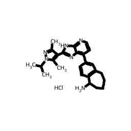 Cc1nn(C(C)C)c(C)c1-c1nc2c(-c3ccc4c(c3)CCCCC4N)ccnc2[nH]1.Cl